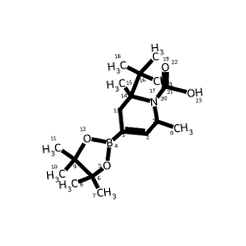 CC1C=C(B2OC(C)(C)C(C)(C)O2)CC(C)(C(C)(C)C)N1C(=O)O